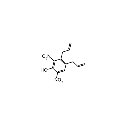 C=CCc1cc([N+](=O)[O-])c(O)c([N+](=O)[O-])c1CC=C